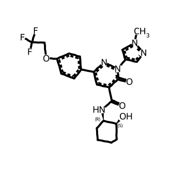 Cn1cc(-n2nc(-c3ccc(OCC(F)(F)F)cc3)cc(C(=O)N[C@@H]3CCCC[C@@H]3O)c2=O)cn1